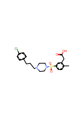 Cc1ccc(S(=O)(=O)N2CCN(CCCc3ccc(Cl)cc3)CC2)cc1CC(=O)O